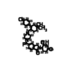 CC1(C)CCC(CN2CCN(C(F)c3ccc4c(c3)CN(C3CCC(=O)NC3=O)C4=O)CC2)=C(c2ccc(Cl)cc2)C1